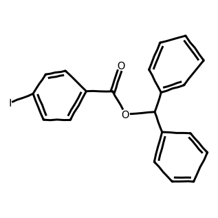 O=C(OC(c1ccccc1)c1ccccc1)c1ccc(I)cc1